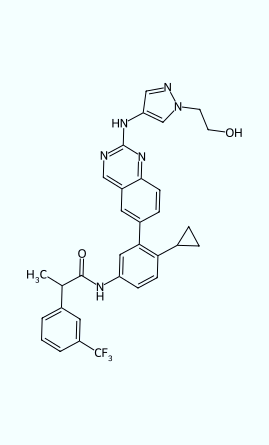 CC(C(=O)Nc1ccc(C2CC2)c(-c2ccc3nc(Nc4cnn(CCO)c4)ncc3c2)c1)c1cccc(C(F)(F)F)c1